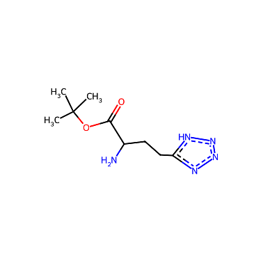 CC(C)(C)OC(=O)C(N)CCc1nnn[nH]1